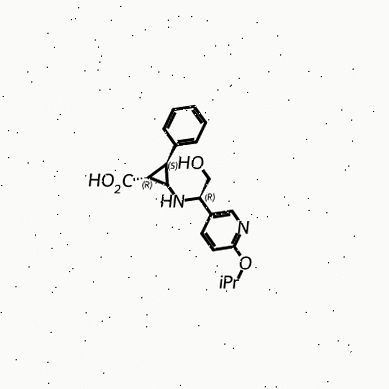 CC(C)Oc1ccc([C@H](CO)NC2[C@H](C(=O)O)[C@H]2c2ccccc2)cn1